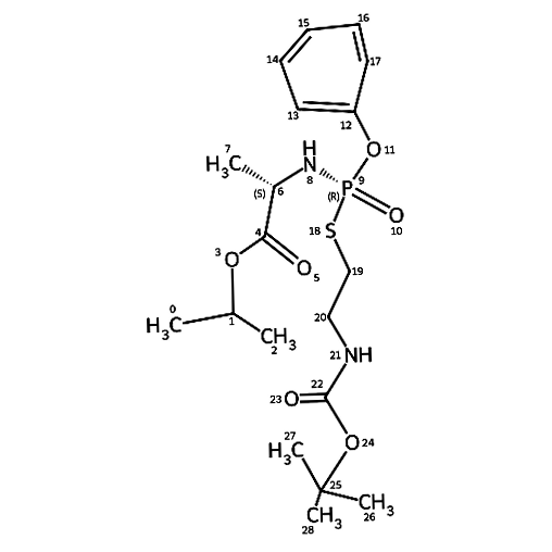 CC(C)OC(=O)[C@H](C)N[P@@](=O)(Oc1ccccc1)SCCNC(=O)OC(C)(C)C